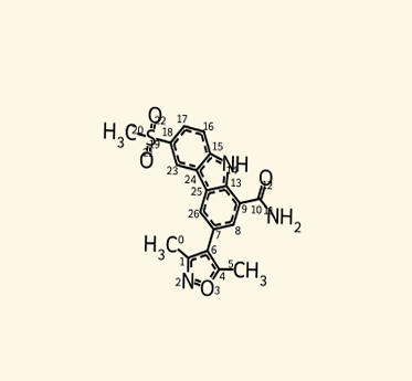 Cc1noc(C)c1-c1cc(C(N)=O)c2[nH]c3ccc(S(C)(=O)=O)cc3c2c1